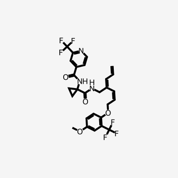 C=C/C=C(\C=C/COc1ccc(OC)cc1C(F)(F)F)CNC(=O)C1(NC(=O)c2ccnc(C(F)(F)F)c2)CC1